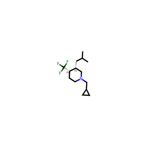 CC(C)C[C@@H]1CN(CC2CC2)CC[C@@H]1C(F)(F)F